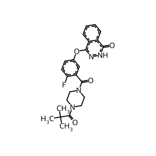 CC(C)(C)C(=O)N1CCN(C(=O)c2cc(Oc3n[nH]c(=O)c4ccccc34)ccc2F)CC1